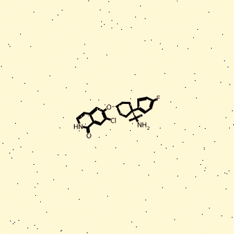 CC(C)(N)[C@]1(c2ccc(F)cc2)CC[C@@H](Oc2cc3cc[nH]c(=O)c3cc2Cl)CC1